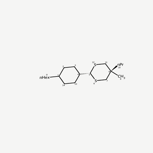 CCCCCCC1CCC([C@H]2SC[C@](C)(CCC)CS2)CC1